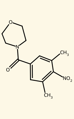 Cc1cc(C(=O)N2CCOCC2)cc(C)c1[N+](=O)[O-]